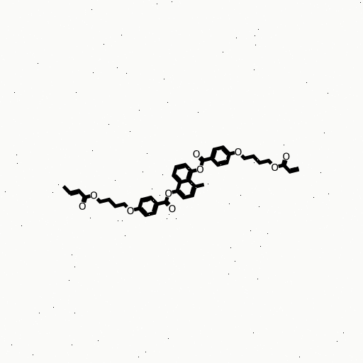 C=CC(=O)OCCCCOc1ccc(C(=O)Oc2cccc3c(OC(=O)c4ccc(OCCCCOC(=O)/C=C/C)cc4)ccc(C)c23)cc1